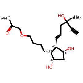 C#CC(O)(CC=C[C@@H]1[C@@H](CCCCOCC(=O)OC)[C@@H](O)C[C@H]1O)CCCCCC